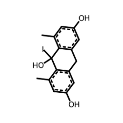 Cc1cc(O)cc2c1C(O)(I)c1c(C)cc(O)cc1C2